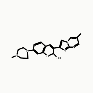 Cc1cnc2nc(C3=Cc4ccc(N5CCN(C)CC5)cc4OC3O)cn2c1